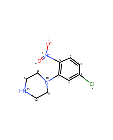 O=[N+]([O-])c1ccc(Cl)cc1N1CCNCC1